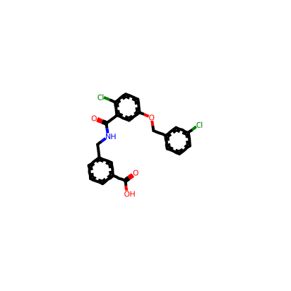 O=C(O)c1cccc(CNC(=O)c2cc(OCc3cccc(Cl)c3)ccc2Cl)c1